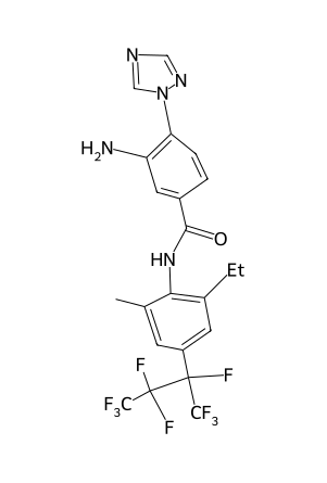 CCc1cc(C(F)(C(F)(F)F)C(F)(F)C(F)(F)F)cc(C)c1NC(=O)c1ccc(-n2cncn2)c(N)c1